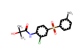 CC(O)(C(=O)Nc1ccc(S(=O)(=O)c2cccc([N+](=O)[O-])c2)cc1Cl)C(F)(F)F